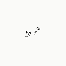 [CH2]NC=O